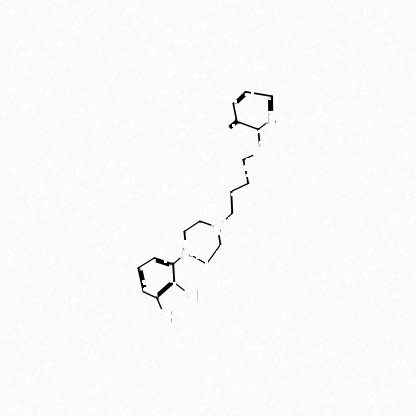 O=C1C=CC=NC1OCCCCN1CCN(c2cccc(Cl)c2Cl)CC1